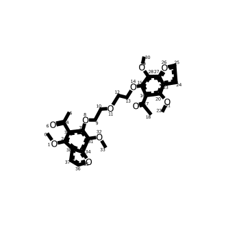 COc1c(C(C)=O)c(OCCOCCOc2c(C(C)=O)c(OC)c3ccoc3c2OC)c(OC)c2occc12